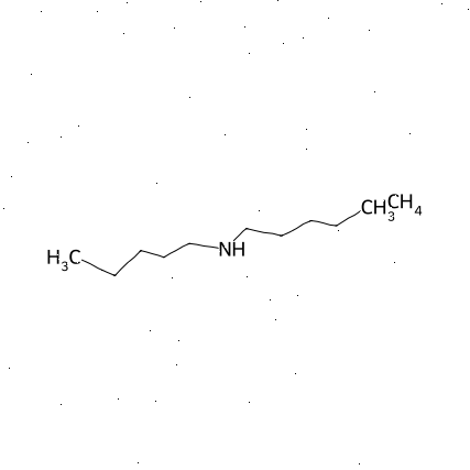 C.CCCCCNCCCCC